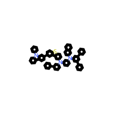 c1ccc(-c2cccc(N(c3cccc(N(c4cc(-c5ccccc5)cc(-c5ccccc5)c4)c4ccc5ccccc5c4)c3)c3ccc4sc5ccc(-c6ccc7c8ccccc8n(-c8ccccc8)c7c6)cc5c4c3)c2)cc1